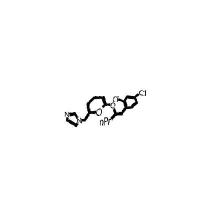 CCCC(Cc1ccc(Cl)cc1Cl)OC1CCCC(Cn2ccnc2)O1